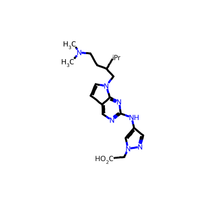 CC(C)C(CCN(C)C)Cn1ccc2cnc(Nc3cnn(CC(=O)O)c3)nc21